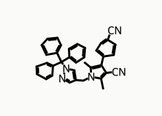 Cc1c(C#N)c(-c2ccc(C#N)cc2)c(C)n1Cc1cnn(C(c2ccccc2)(c2ccccc2)c2ccccc2)c1